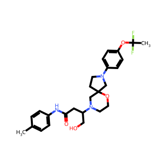 Cc1ccc(NC(=O)CC(CO)N2CCOC3(CCN(c4ccc(OC(C)(F)F)cc4)C3)C2)cc1